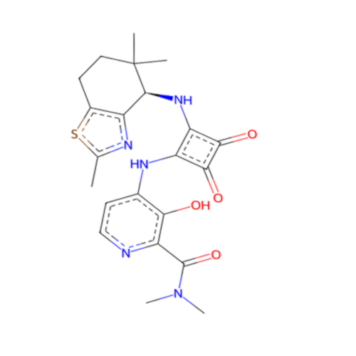 Cc1nc2c(s1)CCC(C)(C)[C@H]2Nc1c(Nc2ccnc(C(=O)N(C)C)c2O)c(=O)c1=O